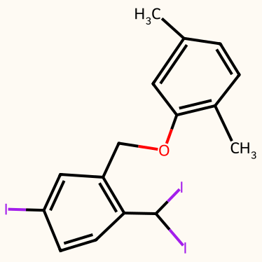 Cc1ccc(C)c(OCc2cc(I)ccc2C(I)I)c1